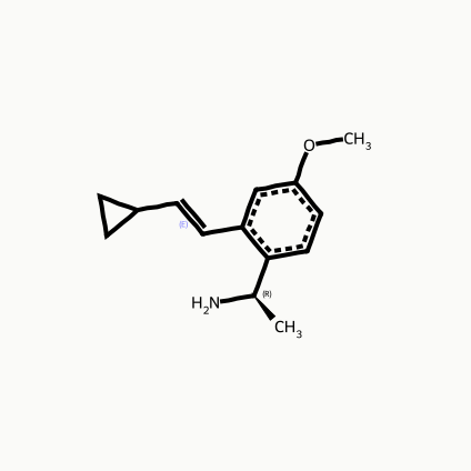 COc1ccc([C@@H](C)N)c(/C=C/C2CC2)c1